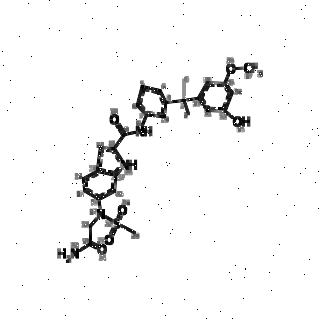 CC(C)(c1cccc(NC(=O)c2cc3ccc(N(CC(N)=O)S(C)(=O)=O)cc3[nH]2)c1)c1cc(O)cc(OC(F)(F)F)c1